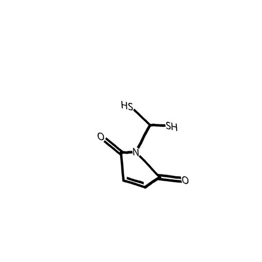 O=C1C=CC(=O)N1C(S)S